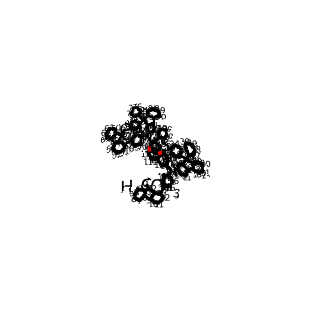 CC1(C)c2ccccc2-c2cccc(-c3ccc(N(c4ccc5c(c4)C(c4ccccc4)(c4ccc([SH]6c7ccccc7-c7c(N(c8ccc(-c9cccc%10c9C(C)(C)c9ccccc9-%10)cc8)c8ccc9c(c8)C(c8ccccc8)(c8ccccc8)c8ccccc8-9)cccc76)cc4)c4ccccc4-5)c4ccc5ccccc5c4)cc3)c21